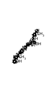 Cc1ncsc1-c1ccc(CNC(=O)[C@@H]2C[C@@H](O)CN2C(=O)[C@@H](c2cc(-c3cnc(N4CCC5(CC4)CC(c4sc6nnc(-c7ccccc7O)cc6c4C)C5)nc3)no2)C(C)C)cc1